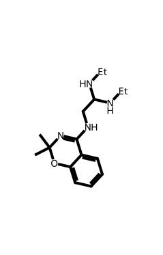 CCNC(CNC1=NC(C)(C)Oc2ccccc21)NCC